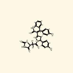 O=C1NC(=O)C(C(F)(F)C(=O)N2N=C(c3c(-c4ccc(Cl)cc4)c4ccccc4[nH]c3=O)CC2c2ccc(Cl)cc2)O1